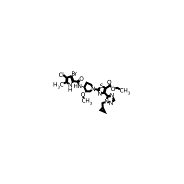 CCOC(=O)c1sc(N2CC[C@@H](NC(=O)c3[nH]c(C)c(Cl)c3Br)[C@@H](OC)C2)nc1-c1ncnn1CC1CC1